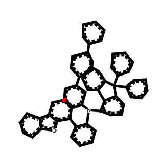 c1ccc(-c2ccc(-c3cccc(N(c4ccccc4-c4cccc5c4oc4ccccc45)c4cccc5c4-c4ccccc4C5(c4ccccc4)c4ccccc4)c3)cc2)cc1